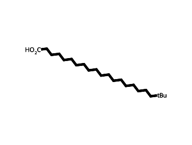 [CH2]C([CH2])([CH2])CCCCCCCCCCCCCCCCCCC(=O)O